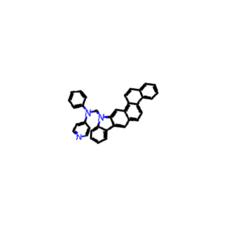 c1ccc(N(Cn2c3ccccc3c3cc4ccc5c6ccccc6ccc5c4cc32)c2ccncc2)cc1